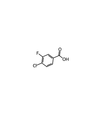 O=C(O)c1ccc(Cl)c(F)c1